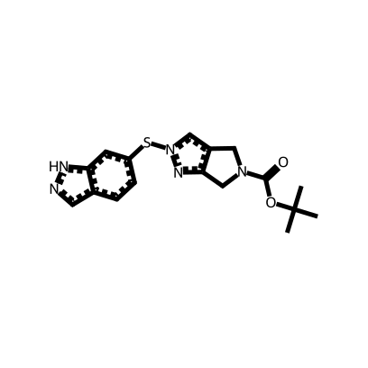 CC(C)(C)OC(=O)N1Cc2cn(Sc3ccc4cn[nH]c4c3)nc2C1